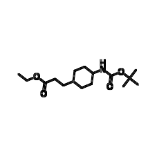 CCOC(=O)CCC1CCC(NC(=O)OC(C)(C)C)CC1